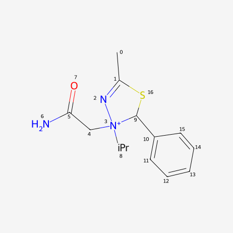 CC1=N[N+](CC(N)=O)(C(C)C)C(c2ccccc2)S1